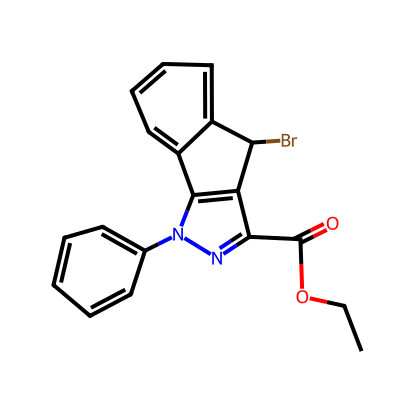 CCOC(=O)c1nn(-c2ccccc2)c2c1C(Br)c1ccccc1-2